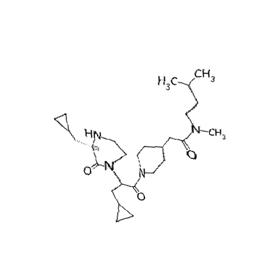 CC(C)CCN(C)C(=O)CC1CCN(C(=O)C(CC2CC2)N2CCN[C@@H](CC3CC3)C2=O)CC1